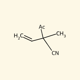 C=CC(C)(C#N)C(C)=O